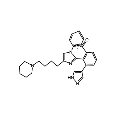 NC(=O)c1cccc(-c2cn[nH]c2)c1-c1nc(CCCCN2CCCCC2)cn1-c1ccccc1